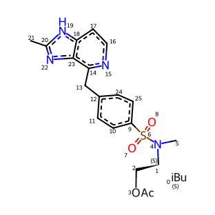 CC[C@H](C)[C@@H](COC(C)=O)N(C)S(=O)(=O)c1ccc(Cc2nccc3[nH]c(C)nc23)cc1